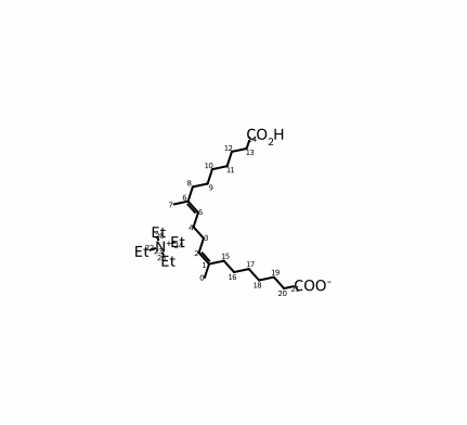 CC(=CCCC=C(C)CCCCCCC(=O)O)CCCCCCC(=O)[O-].CC[N+](CC)(CC)CC